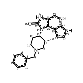 C[C@@H]1CN(Cc2ccccc2)CC[C@@H]1n1c(=O)[nH]c2cnc3[nH]ccc3c21